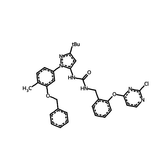 Cc1ccc(-n2nc(C(C)(C)C)cc2NC(=O)NCc2ccccc2Oc2ccnc(Cl)n2)cc1OCc1ccccc1